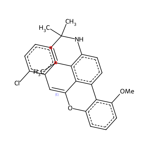 COc1cccc2c1-c1ccc3c(c1/C(=C\c1ccccc1Cl)O2)C(C)=CC(C)(C)N3